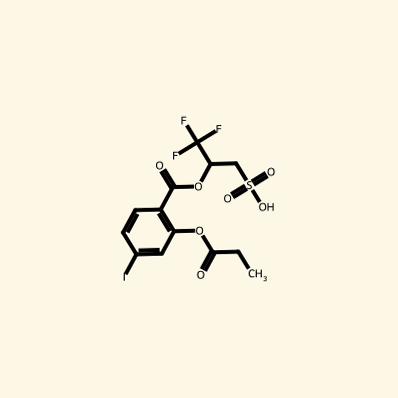 CCC(=O)Oc1cc(I)ccc1C(=O)OC(CS(=O)(=O)O)C(F)(F)F